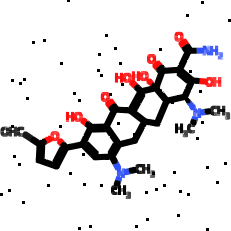 CN(C)c1cc(-c2ccc(C=O)o2)c(O)c2c1CC1CC3[C@H](N(C)C)C(O)=C(C(N)=O)C(=O)[C@@]3(O)C(O)=C1C2=O